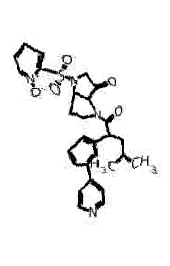 CC(C)CC(C(=O)N1CCC2C1C(=O)CN2S(=O)(=O)c1cccc[n+]1[O-])c1cccc(-c2ccncc2)c1